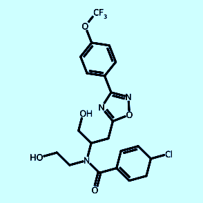 O=C(C1=CCC(Cl)C=C1)N(CCO)C(CO)Cc1nc(-c2ccc(OC(F)(F)F)cc2)no1